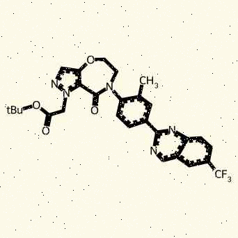 Cc1cc(-c2ncc3cc(C(F)(F)F)ccc3n2)ccc1N1CCOc2cnn(CC(=O)OC(C)(C)C)c2C1=O